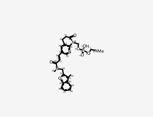 CNCOP(=O)(O)OCN1C(=O)CCc2cc(/C=C/C(=O)N(C)Cc3oc4ccccc4c3C)cnc21